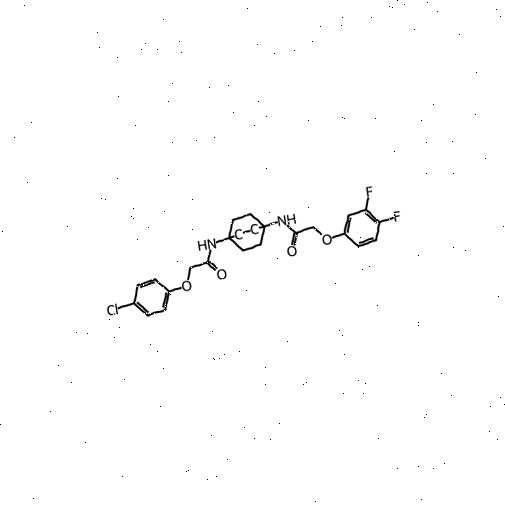 O=C(COc1ccc(Cl)cc1)NC12CCC(NC(=O)COc3ccc(F)c(F)c3)(CC1)CC2